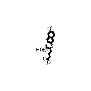 COC(=O)CCCC(Sc1ccc2cc(OC)ccc2c1)/C(C)=N/O